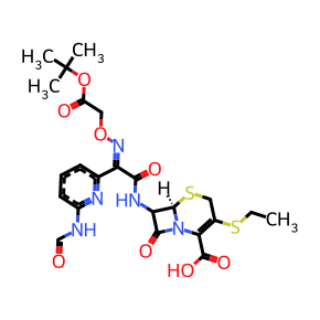 CCSC1=C(C(=O)O)N2C(=O)C(NC(=O)/C(=N/OCC(=O)OC(C)(C)C)c3cccc(NC=O)n3)[C@H]2SC1